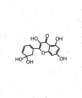 O=c1c(O)c(C2=CC=CC(O)(O)C2)oc2cc(O)cc(O)c12